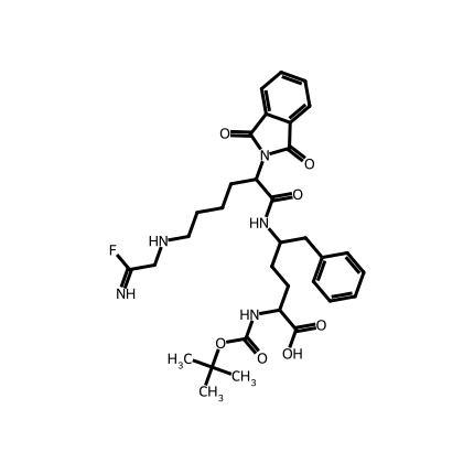 CC(C)(C)OC(=O)NC(CCC(Cc1ccccc1)NC(=O)C(CCCCNCC(=N)F)N1C(=O)c2ccccc2C1=O)C(=O)O